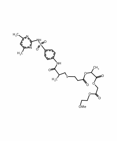 COCCOC(=O)COC(=O)C(C)OC(=O)CCSCC(C)C(=O)Nc1ccc(S(=O)(=O)Nc2nc(C)cc(C)n2)cc1